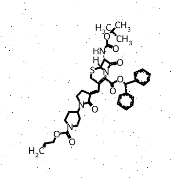 C=CCOC(=O)N1CCC(N2CC/C(=C\C3=C(C(=O)OC(c4ccccc4)c4ccccc4)N4C(=O)[C@@H](NC(=O)OC(C)(C)C)[C@H]4SC3)C2=O)CC1